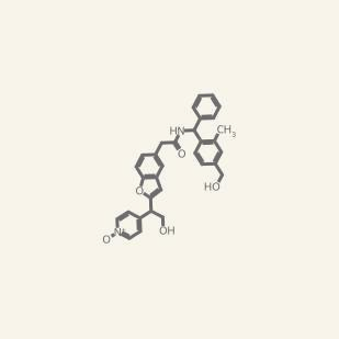 Cc1cc(CO)ccc1C(NC(=O)Cc1ccc2oc(C(CO)c3cc[n+]([O-])cc3)cc2c1)c1ccccc1